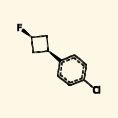 F[C@H]1C[C@@H](c2ccc(Cl)cc2)C1